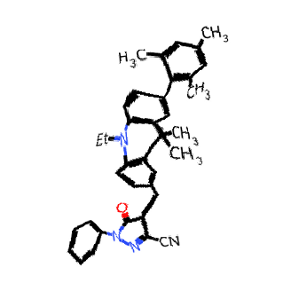 CCN1c2ccc(/C=C3\C(=O)N(c4ccccc4)N=C3C#N)cc2C(C)(C)c2cc(-c3c(C)cc(C)cc3C)ccc21